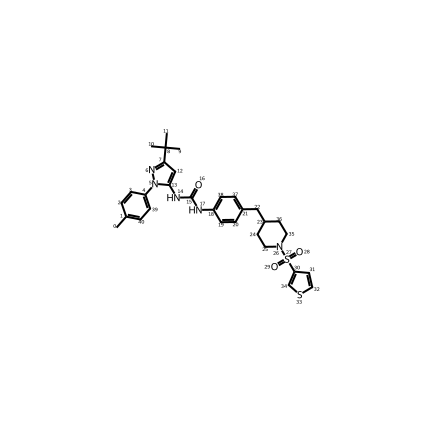 Cc1ccc(-n2nc(C(C)(C)C)cc2NC(=O)Nc2ccc(CC3CCN(S(=O)(=O)c4ccsc4)CC3)cc2)cc1